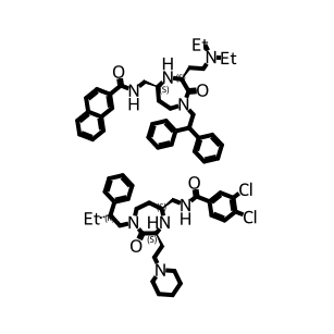 CCN(CC)CC[C@@H]1N[C@H](CNC(=O)c2ccc3ccccc3c2)CCN(CC(c2ccccc2)c2ccccc2)C1=O.CC[C@@H](CN1CC[C@@H](CNC(=O)c2ccc(Cl)c(Cl)c2)N[C@@H](CCN2CCCCC2)C1=O)c1ccccc1